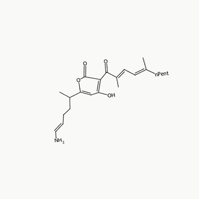 CCCCC/C(C)=C/C=C(\C)C(=O)c1c(O)cc(C(C)CC/C=C/N)oc1=O